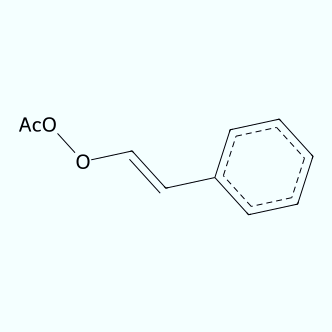 CC(=O)OOC=Cc1ccccc1